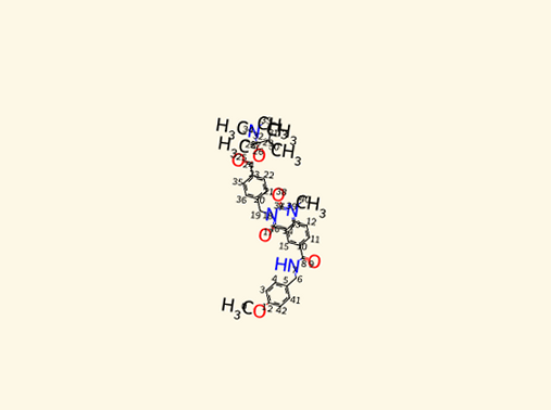 COc1ccc(CNC(=O)c2ccc3c(c2)c(=O)n(Cc2ccc(C(=O)OC(C)(C(C)C)N(C)C)cc2)c(=O)n3C)cc1